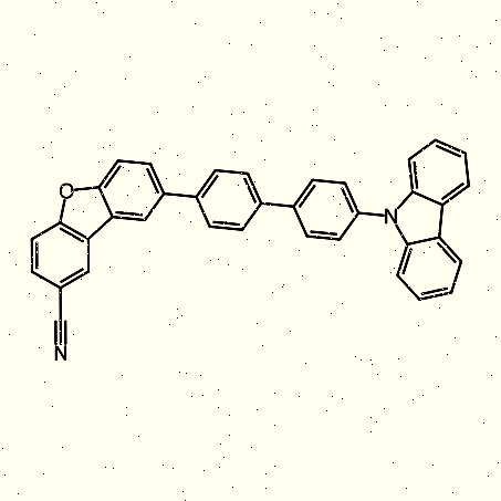 N#Cc1ccc2oc3ccc(-c4ccc(-c5ccc(-n6c7ccccc7c7ccccc76)cc5)cc4)cc3c2c1